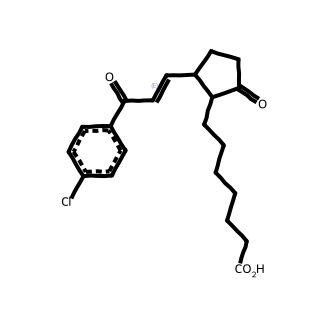 O=C(O)CCCCCCC1C(=O)CCC1/C=C/C(=O)c1ccc(Cl)cc1